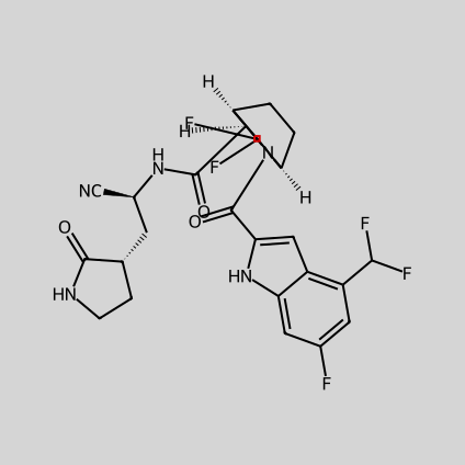 N#C[C@H](C[C@@H]1CCNC1=O)NC(=O)[C@H]1[C@H]2CC[C@H](CC2(F)F)N1C(=O)c1cc2c(C(F)F)cc(F)cc2[nH]1